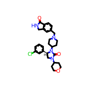 O=C1NCc2cc(CN3CCC(N4C(=O)N(C5CCOCC5)C[C@H]4c4cccc(Cl)c4)CC3)ccc21